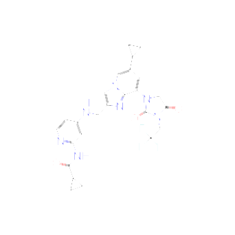 O=C(Nc1cc(NCc2cn3cc(C4CC4)cc(N4CC(=O)N(CC(F)(F)F)C4=O)c3n2)ccn1)C1CC1